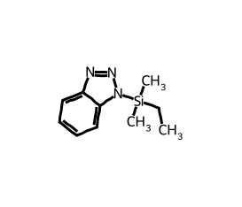 CC[Si](C)(C)n1nnc2ccccc21